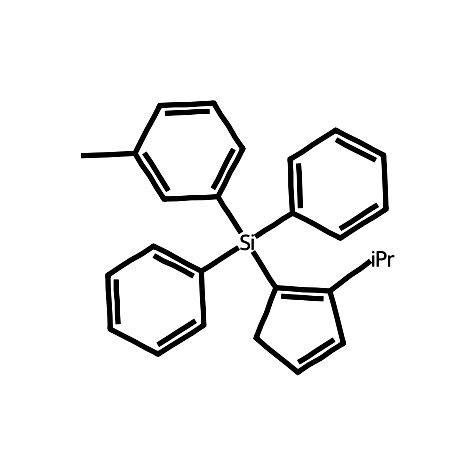 Cc1cccc([Si](C2=C(C(C)C)C=CC2)(c2ccccc2)c2ccccc2)c1